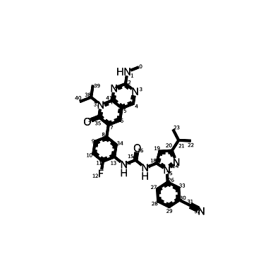 CNc1ncc2cc(-c3ccc(F)c(NC(=O)Nc4cc(C(C)C)nn4-c4cccc(C#N)c4)c3)c(=O)n(C(C)C)c2n1